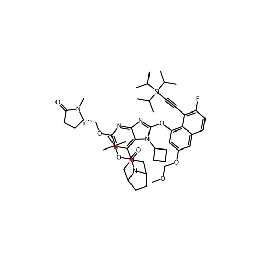 COCOc1cc(Oc2nc3nc(OC[C@@H]4CCC(=O)N4C)nc(N4CC5CCC(C4)N5C(=O)OC(C)(C)C)c3n2C2CCC2)c2c(C#C[Si](C(C)C)(C(C)C)C(C)C)c(F)ccc2c1